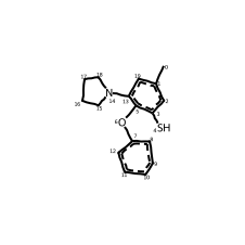 Cc1cc(S)c(Oc2ccccc2)c(N2CCCC2)c1